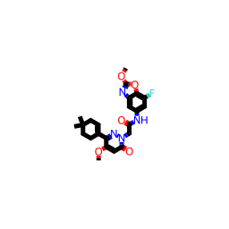 COc1nc2cc(NC(=O)Cn3nc(C4=CCC(C)(C)CC4)c(OC)cc3=O)cc(F)c2o1